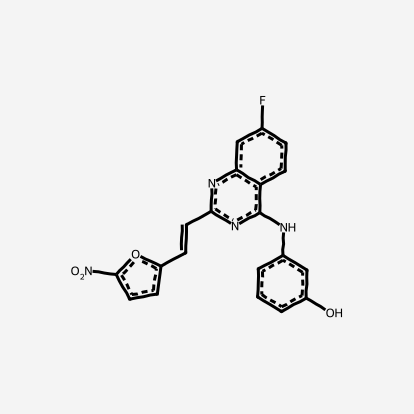 O=[N+]([O-])c1ccc(/C=C/c2nc(Nc3cccc(O)c3)c3ccc(F)cc3n2)o1